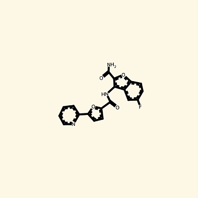 NC(=O)c1oc2ccc(F)cc2c1NC(=O)c1ccc(-c2ccccn2)o1